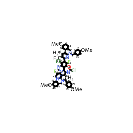 COc1ccc(CN(Cc2ccc(OC)cc2)c2cc(C)c(C(F)(F)F)c(-c3c(F)c4c5c(c3Cl)=NCNC=5C(C(C)c3cc(F)cnc3N(Cc3ccc(OC)cc3)Cc3ccc(OC)cc3)N=C(Cl)O4)n2)cc1